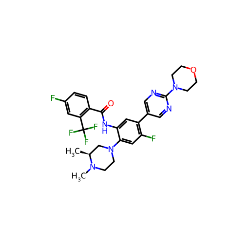 C[C@H]1CN(c2cc(F)c(-c3cnc(N4CCOCC4)nc3)cc2NC(=O)c2ccc(F)cc2C(F)(F)F)CCN1C